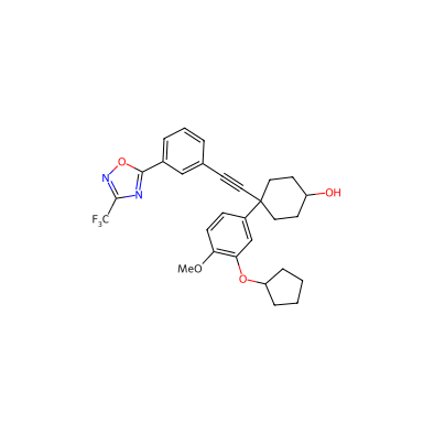 COc1ccc(C2(C#Cc3cccc(-c4nc(C(F)(F)F)no4)c3)CCC(O)CC2)cc1OC1CCCC1